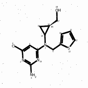 Nc1nc(Cl)cc(N(Cc2cccs2)C2C[C@H]2CO)n1